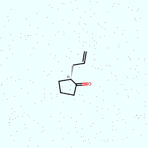 C=CC[C@H]1CCCC1=O